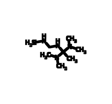 CN(C)C(C)(NCN[SiH3])N(C)C